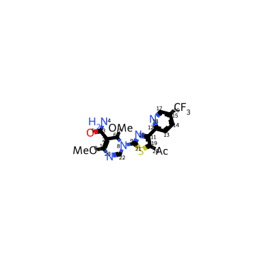 COC1=C(C(N)=O)C(OC)N(c2nc(-c3ccc(C(F)(F)F)cn3)c(C(C)=O)s2)C=N1